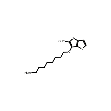 CCCCCCCCCCCCCCCCCCSc1c(C=O)sc2ccsc12